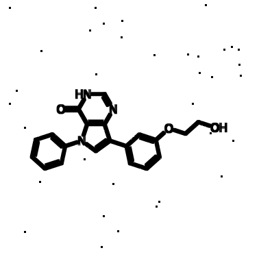 O=c1[nH]cnc2c(-c3cccc(OCCO)c3)cn(-c3ccccc3)c12